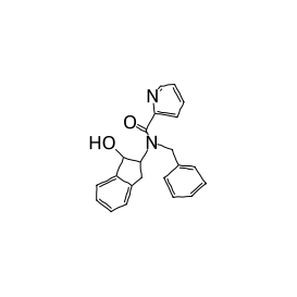 O=C(c1ccccn1)N(Cc1ccccc1)C1Cc2ccccc2C1O